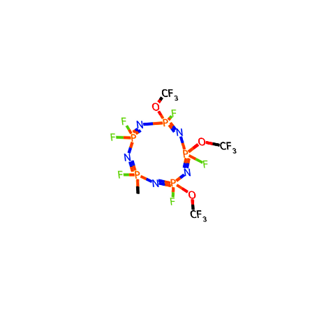 CP1(F)=NP(F)(F)=NP(F)(OC(F)(F)F)=NP(F)(OC(F)(F)F)=NP(F)(OC(F)(F)F)=N1